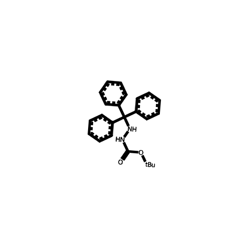 CC(C)(C)OC(=O)NNC(c1ccccc1)(c1ccccc1)c1ccccc1